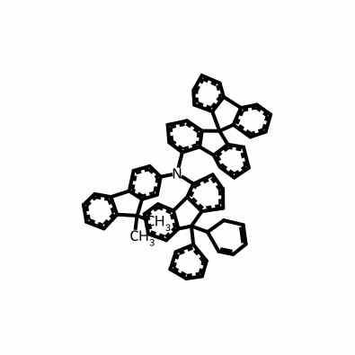 CC1(C)c2ccccc2-c2ccc(N(c3cccc4c3-c3ccccc3C43c4ccccc4-c4ccccc43)c3cccc4c3-c3ccccc3C4(c3ccccc3)C3C=CC=CC3)cc21